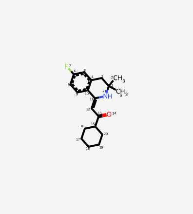 CC1(C)Cc2cc(F)ccc2C(=CC(=O)C2CCCCC2)N1